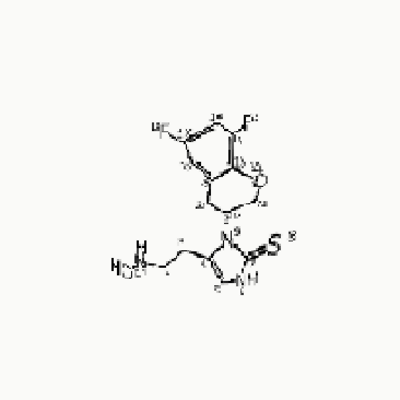 ONCCc1c[nH]c(=S)n1[C@H]1COc2c(F)cc(F)cc2C1